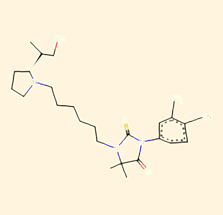 CC(CO)[C@@H]1CCCN1CCCCCCN1C(=S)N(c2ccc(C#N)c(C(F)(F)F)c2)C(=O)C1(C)C